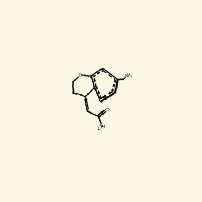 Nc1ccc2c(c1)OCC/C2=C/C(=O)O